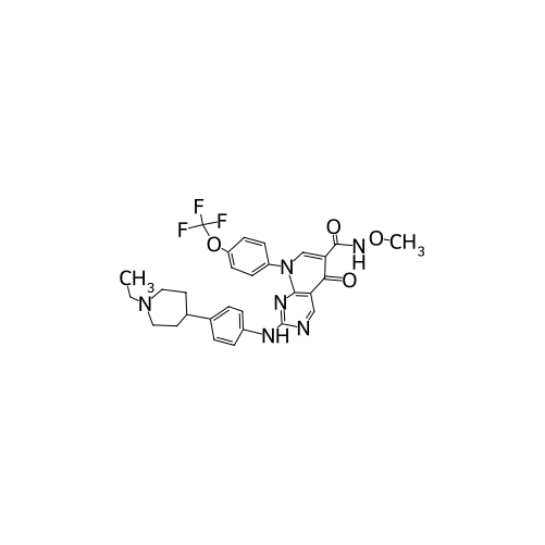 CCN1CCC(c2ccc(Nc3ncc4c(=O)c(C(=O)NOC)cn(-c5ccc(OC(F)(F)F)cc5)c4n3)cc2)CC1